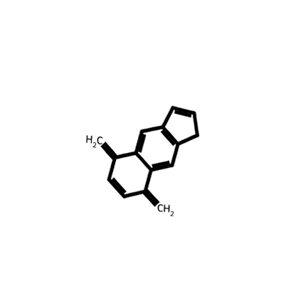 C=c1ccc(=C)c2cc3c(cc12)C=CC3